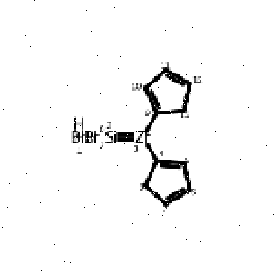 Br.Br.[SiH2]=[Zr]([C]1=CC=CC1)[C]1=CC=CC1